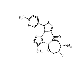 Cc1cnc(C2SC=C(C(N)=O)N2c2cnn(C)c2[C@@H]2CC[C@@H](N)[C@H](F)CO2)cn1